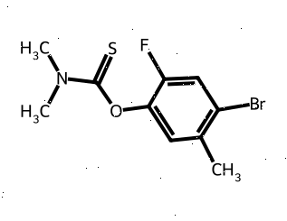 Cc1cc(OC(=S)N(C)C)c(F)cc1Br